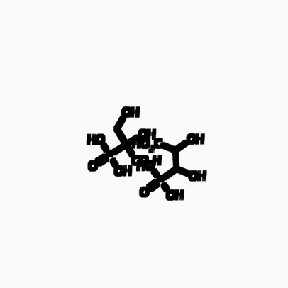 O=C(O)C(O)(CO)P(=O)(O)O.O=C(O)C(O)C(O)P(=O)(O)O